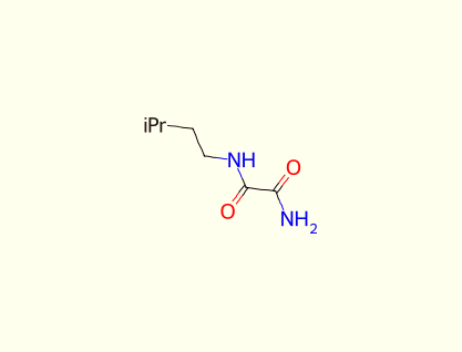 CC(C)CCNC(=O)C(N)=O